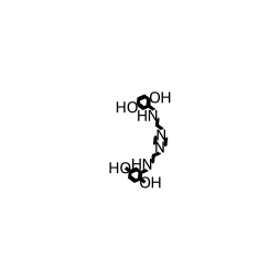 Oc1ccc(O)c(CNCCCN2CCN(CCCNCc3cc(O)ccc3O)CC2)c1